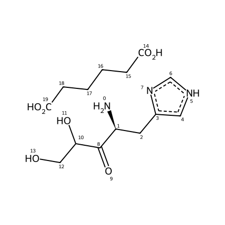 N[C@@H](Cc1c[nH]cn1)C(=O)C(O)CO.O=C(O)CCCCC(=O)O